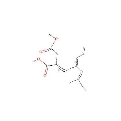 C=C/C=C(C=C(C)C)/C=C(\CC(=O)OC)C(=O)OC